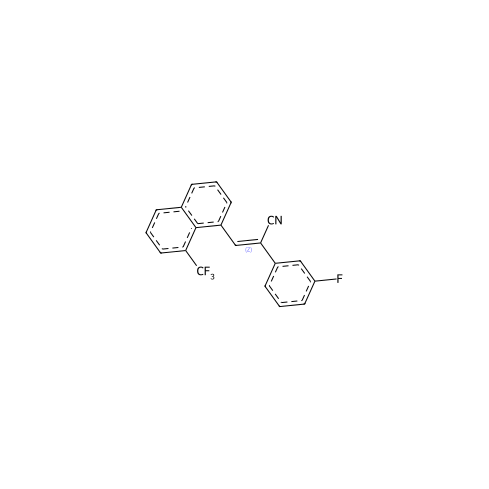 N#C/C(=C\c1cccc2cccc(C(F)(F)F)c12)c1cccc(F)c1